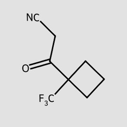 N#CCC(=O)C1(C(F)(F)F)CCC1